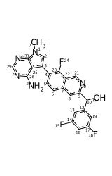 Cn1cc(-c2ccc3cc(C(O)c4cc(F)cc(F)c4)ncc3c2F)c2c(N)ncnc21